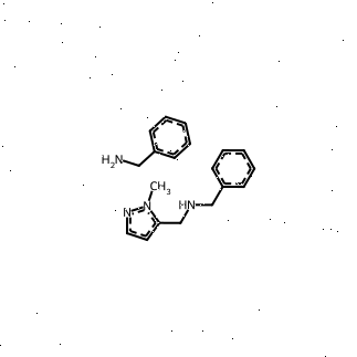 Cn1nccc1CNCc1ccccc1.NCc1ccccc1